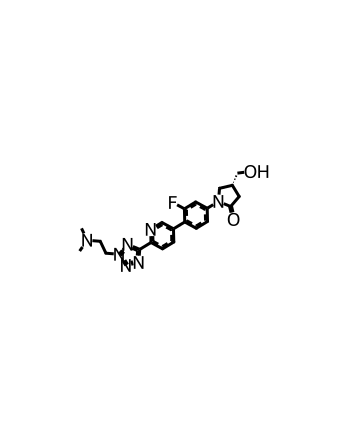 CN(C)CCn1nnc(-c2ccc(-c3ccc(N4C[C@H](CO)CC4=O)cc3F)cn2)n1